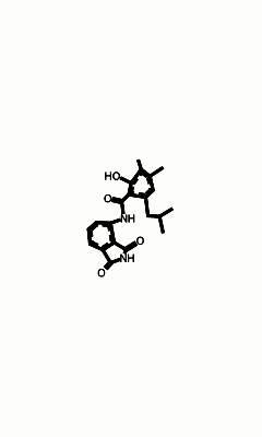 Cc1cc(CC(C)C)c(C(=O)Nc2cccc3c2C(=O)NC3=O)c(O)c1C